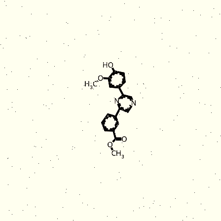 COC(=O)c1cccc(-c2cncc(-c3ccc(O)c(OC)c3)n2)c1